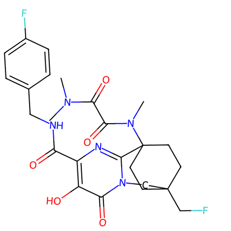 CN(C)C(=O)C(=O)N(C)C12CCC(CF)(CC1)Cn1c2nc(C(=O)NCc2ccc(F)cc2)c(O)c1=O